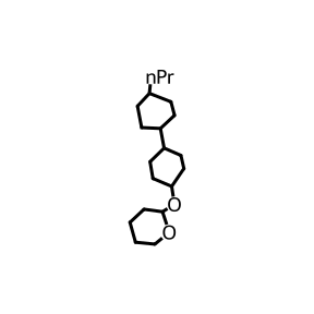 CCCC1CCC(C2CCC(OC3CCCCO3)CC2)CC1